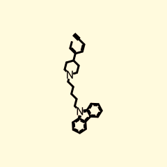 C#C/C=C\C(=C/C)C1CCN(CCCCCn2c3ccccc3c3ccccc32)CC1